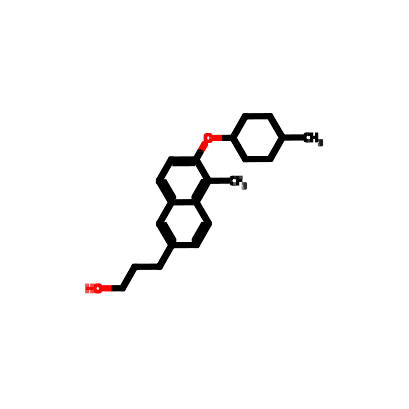 CC1CCC(Oc2ccc3cc(CCCO)ccc3c2C(F)(F)F)CC1